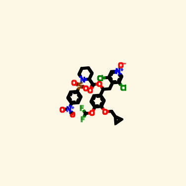 O=C(OC(Cc1c(Cl)c[n+]([O-])cc1Cl)c1ccc(OC(F)F)c(OCC2CC2)c1)C1CCCCN1S(=O)(=O)c1ccc([N+](=O)[O-])cc1